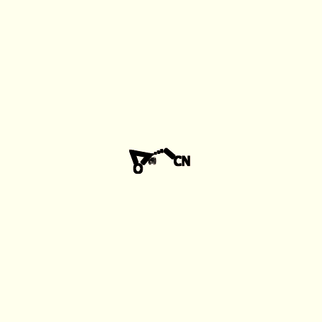 N#CC[C@H]1CO1